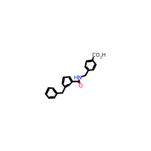 O=C(O)c1ccc(CNC(=O)c2cccc(Cc3ccccc3)c2)cc1